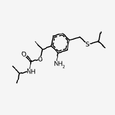 CC(C)NC(=O)OC(C)c1ccc(CSC(C)C)cc1N